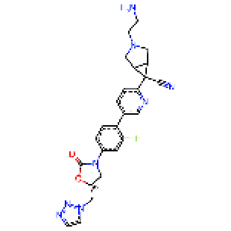 N#CC1(c2ccc(-c3ccc(N4C[C@H](Cn5ccnn5)OC4=O)cc3F)cn2)C2CN(CCN)CC21